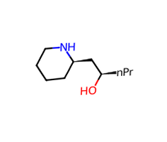 CCC[C@@H](O)C[C@H]1CCCCN1